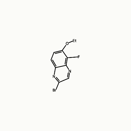 CCOc1ccc2nc(Br)cnc2c1F